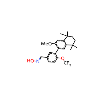 COc1cc2c(cc1-c1cc(/C=N/O)ccc1OC(F)(F)F)C(C)(C)CCC2(C)C